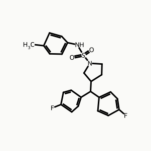 Cc1ccc(NS(=O)(=O)N2CCC(C(c3ccc(F)cc3)c3ccc(F)cc3)C2)cc1